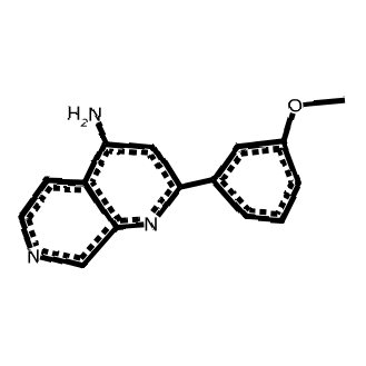 COc1cccc(-c2cc(N)c3ccncc3n2)c1